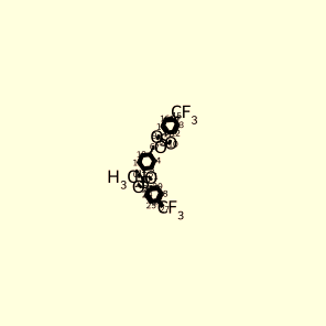 CN([C@H]1CC[C@H](COS(=O)(=O)c2ccc(C(F)(F)F)cc2)CC1)S(=O)(=O)c1ccc(C(F)(F)F)cc1